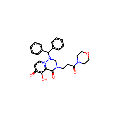 O=C(CCN1CN(C(c2ccccc2)c2ccccc2)n2ccc(=O)c(O)c2C1=O)N1CCOCC1